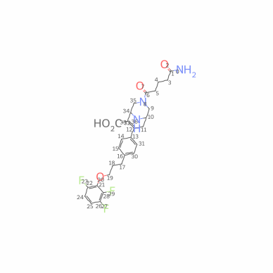 NC(=O)CCCC(=O)N1CC2CC(c3ccc(CCCOc4c(F)ccc(F)c4F)cc3)=C(C(=O)O)C(C1)N2